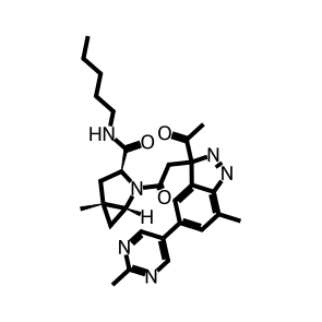 CCCCCNC(=O)[C@@H]1C[C@@]2(C)C[C@H]2N1C(=O)CC1(C(C)=O)N=Nc2c(C)cc(-c3cnc(C)nc3)cc21